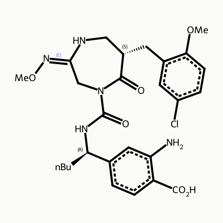 CCCC[C@@H](NC(=O)N1C/C(=N\OC)NC[C@H](Cc2cc(Cl)ccc2OC)C1=O)c1ccc(C(=O)O)c(N)c1